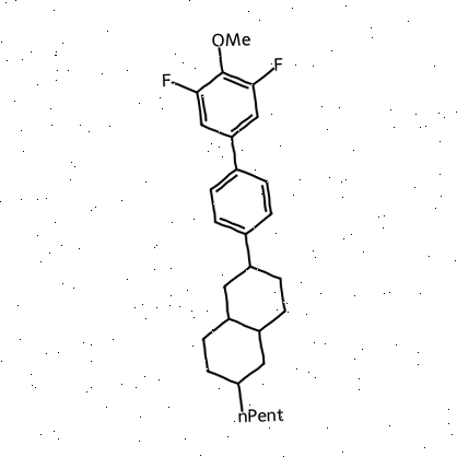 CCCCCC1CCC2CC(c3ccc(-c4cc(F)c(OC)c(F)c4)cc3)CCC2C1